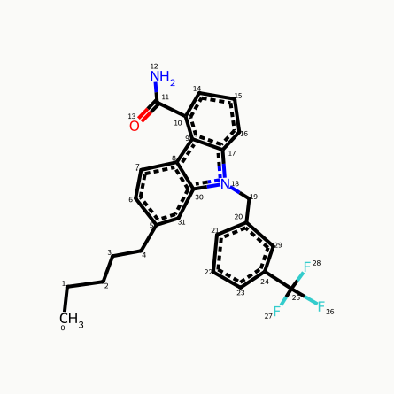 CCCCCc1c[c]c2c3c(C(N)=O)cccc3n(Cc3cccc(C(F)(F)F)c3)c2c1